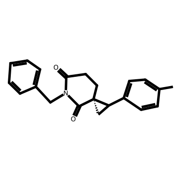 Cc1ccc(C2C[C@]23CCC(=O)N(Cc2ccccc2)C3=O)cc1